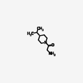 CC(C)C1CCN(C(=O)CN)CC1